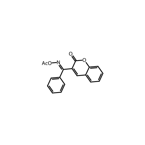 CC(=O)O/N=C(\c1ccccc1)c1cc2ccccc2oc1=O